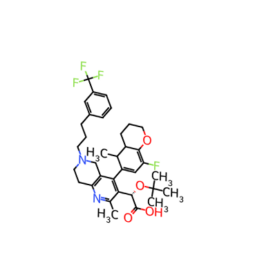 Cc1nc2c(c(C3=CC(F)=C4OCCCC4C3C)c1[C@H](OC(C)(C)C)C(=O)O)CN(CCCc1cccc(C(F)(F)F)c1)CC2